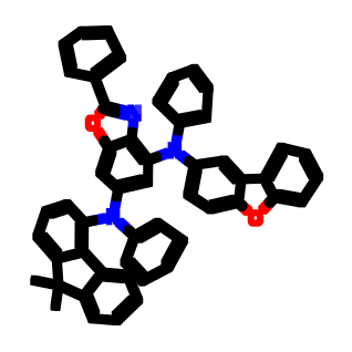 CC1(C)c2ccccc2-c2c(N(c3ccccc3)c3cc(N(c4ccccc4)c4ccc5oc6ccccc6c5c4)c4nc(-c5ccccc5)oc4c3)cccc21